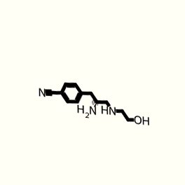 N#Cc1ccc(C[C@@H](N)CNCCO)cc1